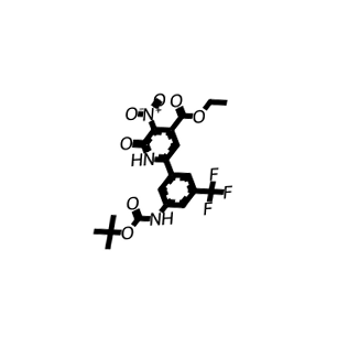 CCOC(=O)c1cc(-c2cc(NC(=O)OC(C)(C)C)cc(C(F)(F)F)c2)[nH]c(=O)c1[N+](=O)[O-]